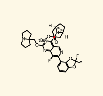 CC(C)(C)OC(=O)N1[C@@H]2CC[C@H]1CN(c1nc(OCC34CCCN3CCC4)nc3c(F)c(-c4cccc5c4OC(F)(F)O5)ncc13)C2